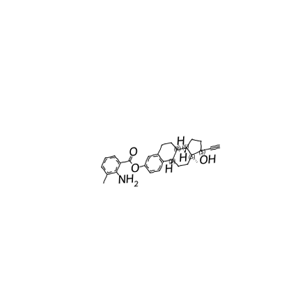 C#C[C@]1(O)CC[C@H]2[C@@H]3CCc4cc(OC(=O)c5cccc(C)c5N)ccc4[C@H]3CC[C@@]21C